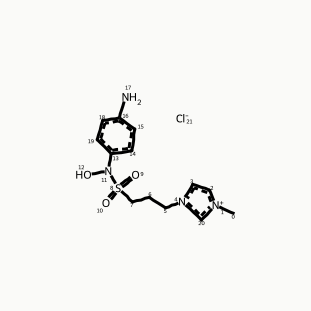 C[n+]1ccn(CCCS(=O)(=O)N(O)c2ccc(N)cc2)c1.[Cl-]